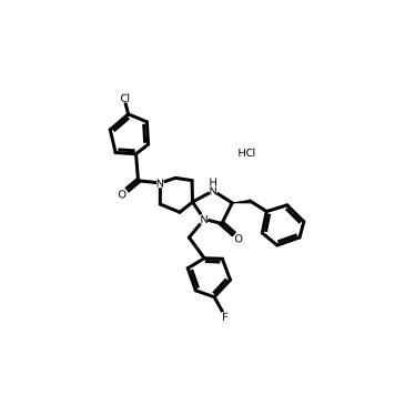 Cl.O=C(c1ccc(Cl)cc1)N1CCC2(CC1)N[C@@H](Cc1ccccc1)C(=O)N2Cc1ccc(F)cc1